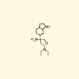 CCN(CC)CCC(N)(C=O)c1ccc2[c]c[nH]c2c1